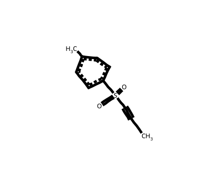 CC#CS(=O)(=O)c1ccc(C)cc1